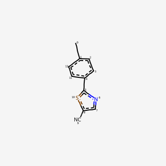 Cc1ccc(-c2ncc(C#N)s2)cc1